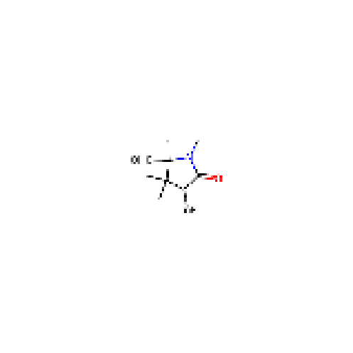 CCCC1C(=O)N(C)C(C)(C=O)C1(C)C